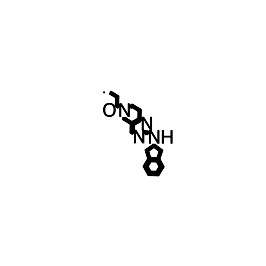 [CH2]CC(=O)N1CCc2nc(NC3Cc4ccccc4C3)ncc2C1